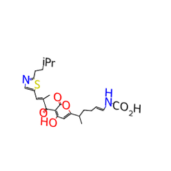 C/C(=C\c1cnc(CCC(C)C)s1)C(=O)c1c(O)cc(C(C)CC/C=C/NC(=O)O)oc1=O